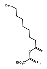 C=C(OC(=O)CCCCCCCCCCCCCCCCC)C(=O)OCC